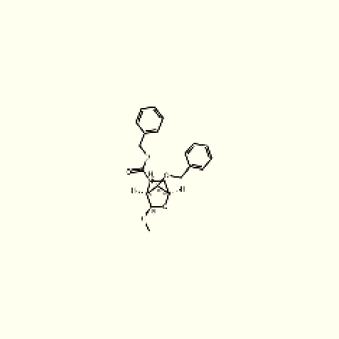 CO[C@@H]1O[C@@H]2CN(C(=O)OCc3ccccc3)[C@H]1[C@H]2OCc1ccccc1